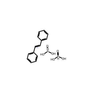 C(=C\c1ccccc1)/c1ccccc1.O=[PH](O)O.O=[PH](O)O